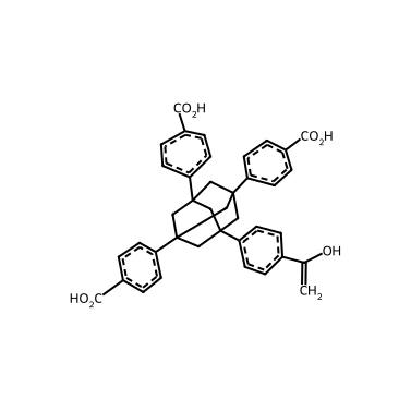 C=C(O)c1ccc(C23CC4(c5ccc(C(=O)O)cc5)CC(c5ccc(C(=O)O)cc5)(C2)CC(c2ccc(C(=O)O)cc2)(C3)C4)cc1